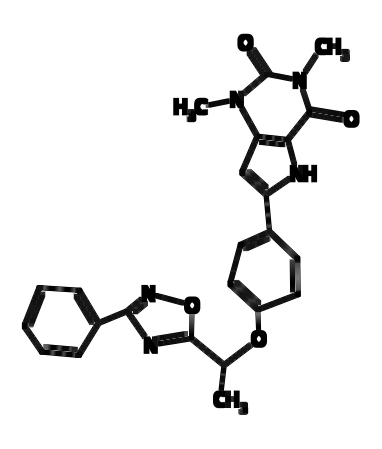 CC(Oc1ccc(-c2cc3c([nH]2)c(=O)n(C)c(=O)n3C)cc1)c1nc(-c2ccccc2)no1